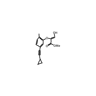 COC(=O)/C(=C/O)Oc1cc(C#CC2CC2)ccc1C